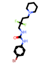 O=C(NCC(F)(F)CCN1CCCCC1)Nc1ccc(Br)cc1